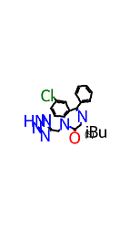 CC[C@H](C)C1N=C(c2ccccc2)c2cc(Cl)ccc2N(Cc2nn[nH]n2)C1=O